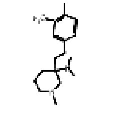 Cc1ccc(CC[C@]2(N(C)C)CCCN(C)C2)cc1C(F)(F)F